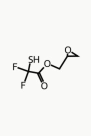 O=C(OCC1CO1)C(F)(F)S